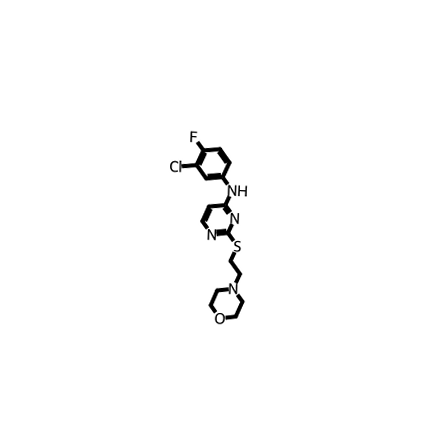 Fc1ccc(Nc2ccnc(SCCN3CCOCC3)n2)cc1Cl